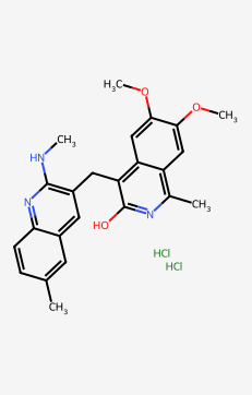 CNc1nc2ccc(C)cc2cc1Cc1c(O)nc(C)c2cc(OC)c(OC)cc12.Cl.Cl